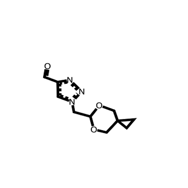 O=Cc1cn(CC2OCC3(CC3)CO2)nn1